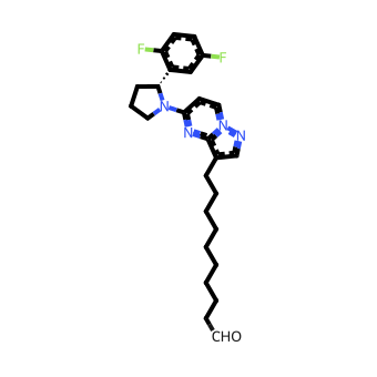 O=CCCCCCCCCCc1cnn2ccc(N3CCC[C@@H]3c3cc(F)ccc3F)nc12